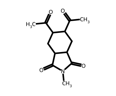 CC(=O)C1CC2C(=O)N(C)C(=O)C2CC1C(C)=O